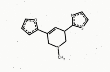 CN1CC(c2ccco2)=CC(c2nccs2)C1